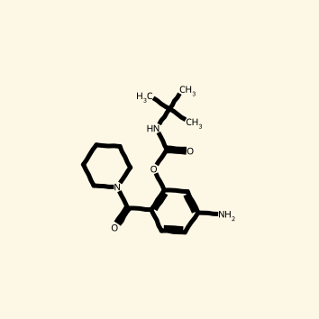 CC(C)(C)NC(=O)Oc1cc(N)ccc1C(=O)N1CCCCC1